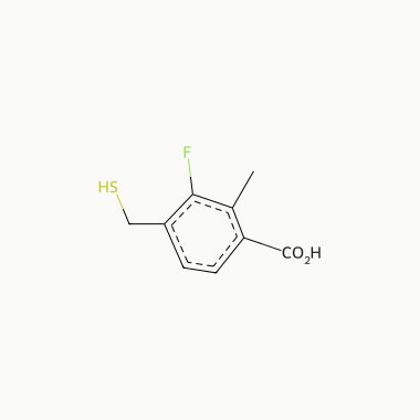 Cc1c(C(=O)O)ccc(CS)c1F